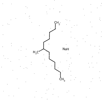 [CH2]CCCCC(C)CCCCCC.[NaH]